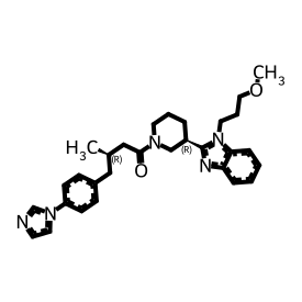 COCCCn1c([C@@H]2CCCN(C(=O)C[C@H](C)Cc3ccc(-n4ccnc4)cc3)C2)nc2ccccc21